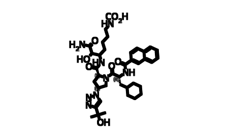 CC(C)(O)c1cn([C@@H]2C[C@@H](C(=O)NC(CCCCNC(=O)O)C(O)C(N)=O)N(C(=O)[C@@H](CC3CCCCC3)NC(=O)c3ccc4ccccc4c3)C2)nn1